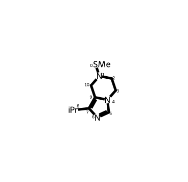 CSN1CCn2cnc(C(C)C)c2C1